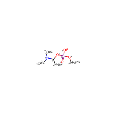 CCCCCCCCCCN(CCCCCCCCCC)C(CCCCCC)OP(=O)(O)OCCCCCCC